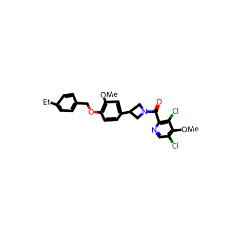 CCc1ccc(COc2ccc(C3CN(C(=O)c4ncc(Cl)c(OC)c4Cl)C3)cc2OC)cc1